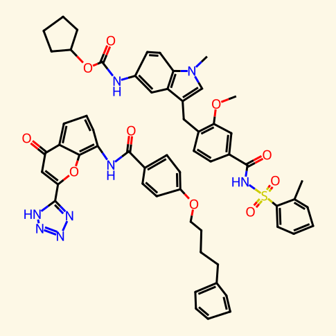 COc1cc(C(=O)NS(=O)(=O)c2ccccc2C)ccc1Cc1cn(C)c2ccc(NC(=O)OC3CCCC3)cc12.O=C(Nc1cccc2c(=O)cc(-c3nnn[nH]3)oc12)c1ccc(OCCCCc2ccccc2)cc1